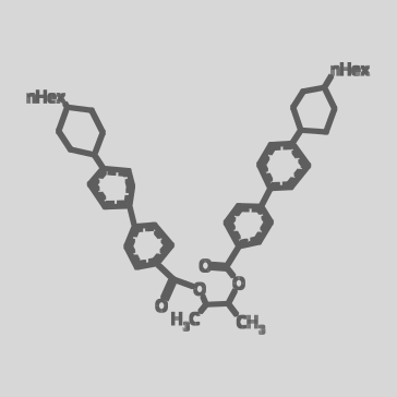 CCCCCCC1CCC(c2ccc(-c3ccc(C(=O)OC(C)C(C)OC(=O)c4ccc(-c5ccc(C6CCC(CCCCCC)CC6)cc5)cc4)cc3)cc2)CC1